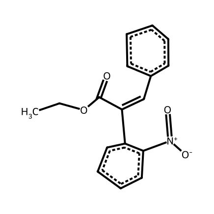 CCOC(=O)C(=Cc1ccccc1)c1ccccc1[N+](=O)[O-]